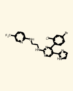 FC(F)(F)c1ccc(NCCNc2ncc(-c3ncc[nH]3)c(-c3ccc(Br)cc3Cl)n2)nc1